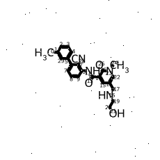 Cc1cccc(-c2cccc(NC(=O)c3cc(CNCCO)cn(C)c3=O)c2C#N)c1